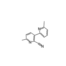 Cc1cccc(-c2ccc(C)nc2C#N)n1